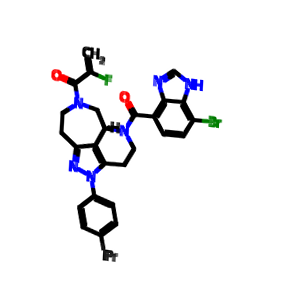 C=C(F)C(=O)N1CCc2nn(-c3ccc(C(C)C)cc3)c3c2[C@H](C1)N(C(=O)c1ccc(Br)c2[nH]cnc12)CC3